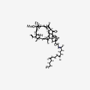 C=Cc1c(C)c2cc3nc(c4c5[nH]c(cc6nc(cc1[nH]2)C(OC)=C6CC)c(C)c5C(=O)C4C(=O)OC)[C@@H](CCC(=O)OC/C=C(\C)CCC[C@H](C)CCC[C@H](C)CCCC(C)C)C3C